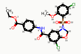 CCOC(=O)c1ccc(NC(=O)c2cc(Cl)c3c(c2)N(S(=O)(=O)c2cc(Cl)ccc2OC)CO3)cc1